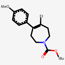 CCC1=C(c2ccc(OC)cc2)CCN(C(=O)OC(C)(C)C)CC1